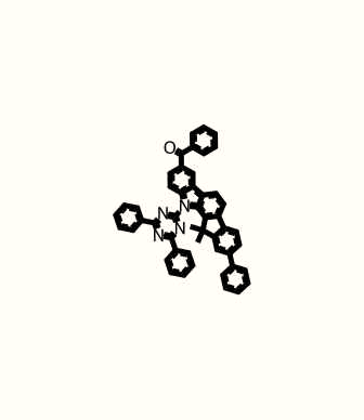 CC1(C)c2cc(-c3ccccc3)ccc2-c2ccc3c4cc(C(=O)c5ccccc5)ccc4n(-c4nc(-c5ccccc5)nc(-c5ccccc5)n4)c3c21